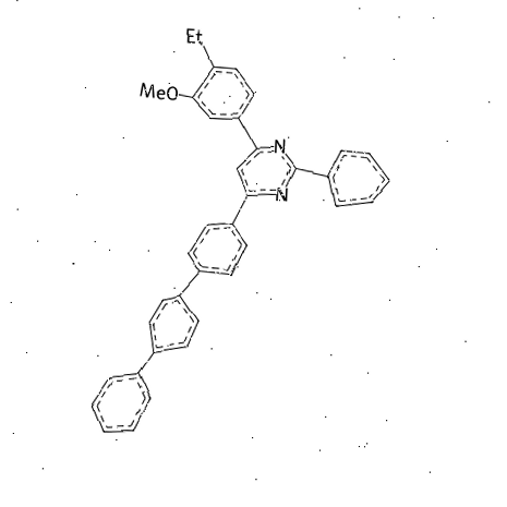 CCc1ccc(-c2cc(-c3ccc(-c4ccc(-c5ccccc5)cc4)cc3)nc(-c3ccccc3)n2)cc1OC